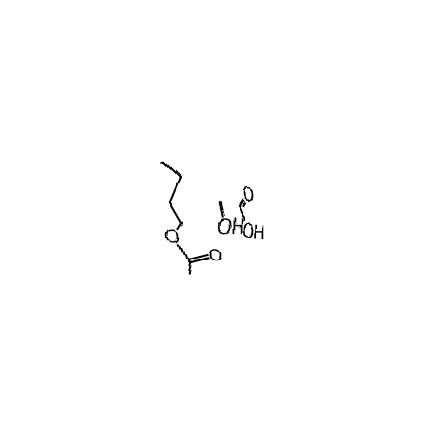 CCCCOC(C)=O.CO.O=CO